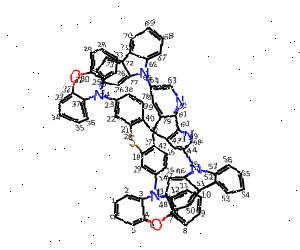 c1ccc2c(c1)Oc1ccccc1N2c1ccc2c(c1)Sc1cc(N3c4ccccc4Oc4ccccc43)ccc1C21c2cc(-n3c4ccccc4c4ccccc43)cnc2-c2ncc(-n3c4ccccc4c4ccccc43)cc21